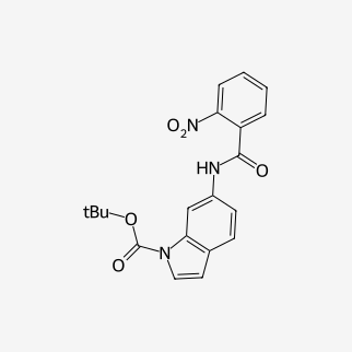 CC(C)(C)OC(=O)n1ccc2ccc(NC(=O)c3ccccc3[N+](=O)[O-])cc21